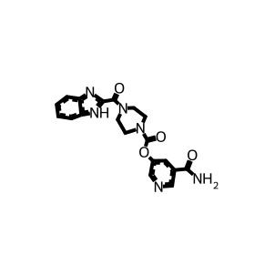 NC(=O)c1cncc(OC(=O)N2CCN(C(=O)c3nc4ccccc4[nH]3)CC2)c1